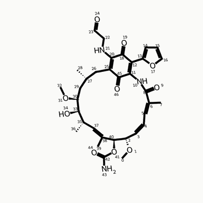 CO[C@H]1/C=C\C=C(/C)C(=O)NC2=C(c3ccco3)C(=O)C(NCC=O)=C(C[C@@H](C)C[C@H](OC)[C@H](O)[C@@H](C)/C=C(\C)[C@@H]1OC(N)=O)C2=O